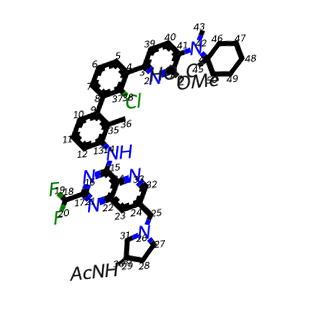 COc1nc(-c2cccc(-c3cccc(Nc4nc(C(F)F)nc5cc(CN6CC[C@@H](NC(C)=O)C6)cnc45)c3C)c2Cl)ccc1N(C)C1(C(=O)O)CCCCC1